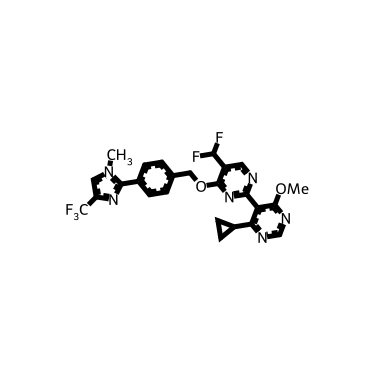 COc1ncnc(C2CC2)c1-c1ncc(C(F)F)c(OCc2ccc(-c3nc(C(F)(F)F)cn3C)cc2)n1